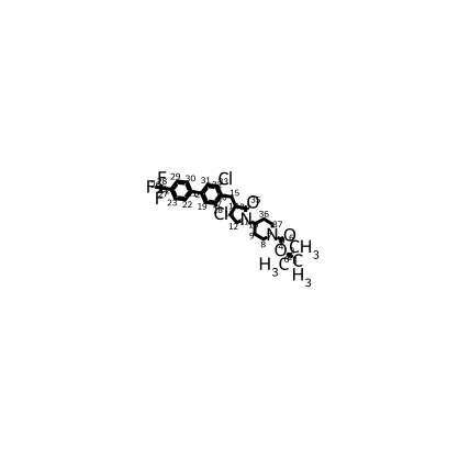 CC(C)(C)OC(=O)N1CCC(N2CCC(Cc3c(Cl)cc(-c4ccc(C(F)(F)F)cc4)cc3Cl)C2=O)CC1